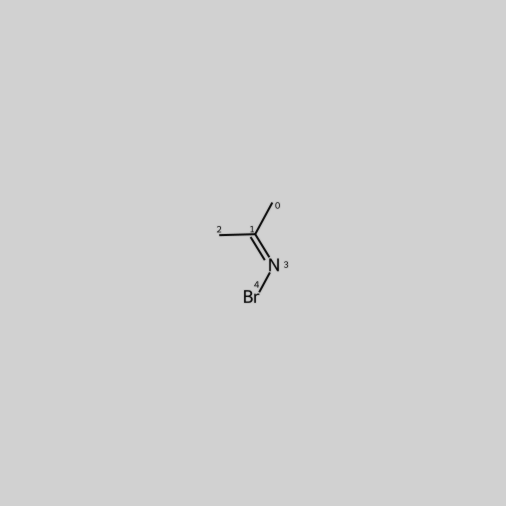 CC(C)=NBr